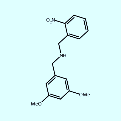 COc1cc(CNCc2ccccc2[N+](=O)[O-])cc(OC)c1